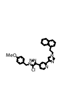 COc1ccc(Cn2nnc(-c3ccnc(-c4cn(CCc5cccc6ccccc56)cn4)c3)c2Cl)cc1